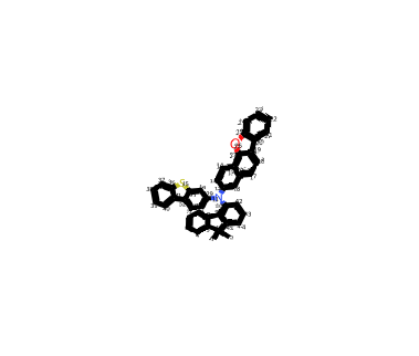 CC1(C)c2ccccc2-c2c(N(c3ccc4c(ccc5c6ccccc6oc45)c3)c3ccc4c(c3)sc3ccccc34)cccc21